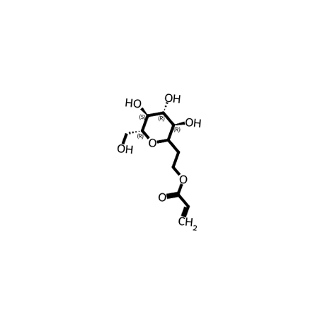 C=CC(=O)OCCC1O[C@H](CO)[C@@H](O)[C@H](O)[C@H]1O